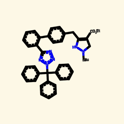 CCCCN1CC(C(=O)OCC)=C(Cc2ccc(-c3ccccc3-c3nnn(C(c4ccccc4)(c4ccccc4)c4ccccc4)n3)cc2)N1